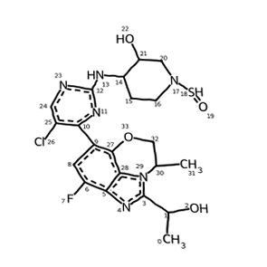 CC(O)c1nc2c(F)cc(-c3nc(NC4CCN([SH]=O)CC4O)ncc3Cl)c3c2n1C(C)CO3